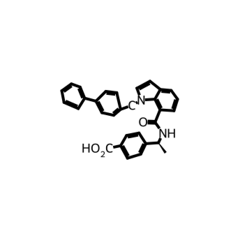 C[C@H](NC(=O)c1cccc2ccn(Cc3ccc(-c4ccccc4)cc3)c12)c1ccc(C(=O)O)cc1